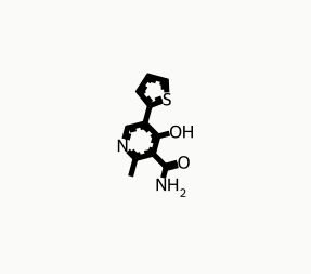 Cc1ncc(-c2cccs2)c(O)c1C(N)=O